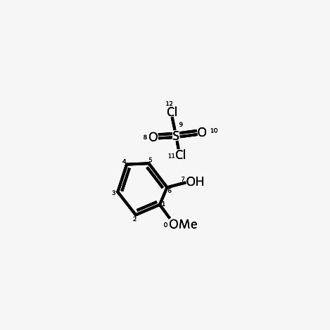 COc1ccccc1O.O=S(=O)(Cl)Cl